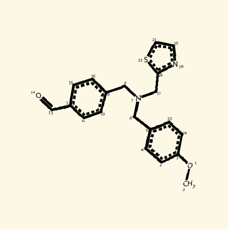 COc1ccc(CN(Cc2ccc(C=O)cc2)Cc2nccs2)cc1